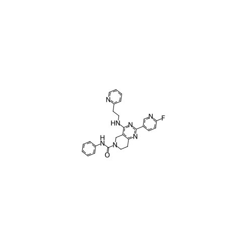 O=C(Nc1ccccc1)N1CCc2nc(-c3ccc(F)nc3)nc(NCCc3ccccn3)c2C1